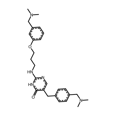 CN(C)Cc1ccc(Cc2cnc(NCCCOc3cccc(CN(C)C)c3)[nH]c2=O)cc1